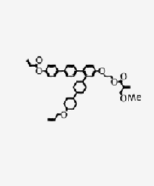 C=CCOC1CCC(C2CCC(c3cc(OCCOC(=O)C(=C)COC)ccc3-c3ccc(-c4ccc(OC(=O)C=C)cc4)cc3)CC2)CC1